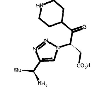 CC[C@H](C)[C@H](N)c1cn([C@@H](CC(=O)O)C(=O)C2CCNCC2)nn1